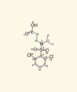 CC(C)N(CCC(=O)O)S(=O)(=O)c1c(Cl)cccc1Cl